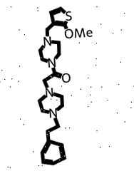 COc1sccc1CN1CCN(C(=O)CN2CCN(CCc3ccccc3)CC2)CC1